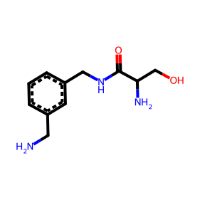 NCc1cccc(CNC(=O)C(N)CO)c1